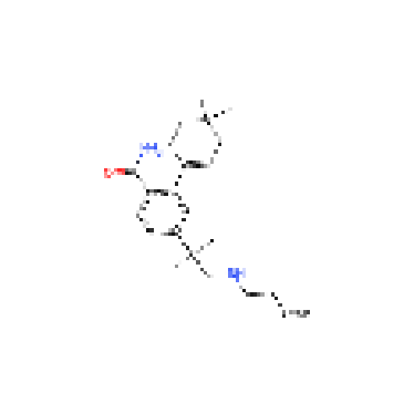 COCCNCC(C)(C)c1ccc(C(N)=O)c(C2=CCC(C)(C)CC2)c1